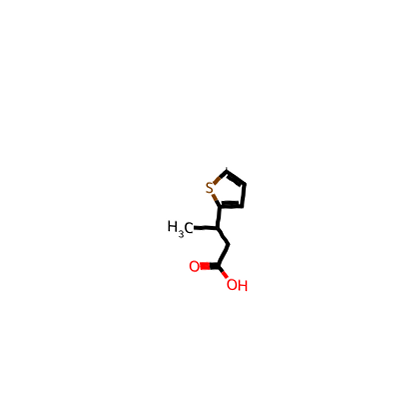 CC(CC(=O)O)c1cc[c]s1